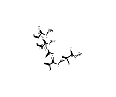 C=C(C)C(=O)OC(C)C.C=C(C)C(=O)OCC.C=C(C)C(=O)OCCC.C=CC(=O)OC(C)C.C=CC(=O)OCCC